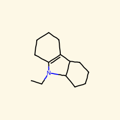 CCN1C2=C(CCCC2)C2CCCCC21